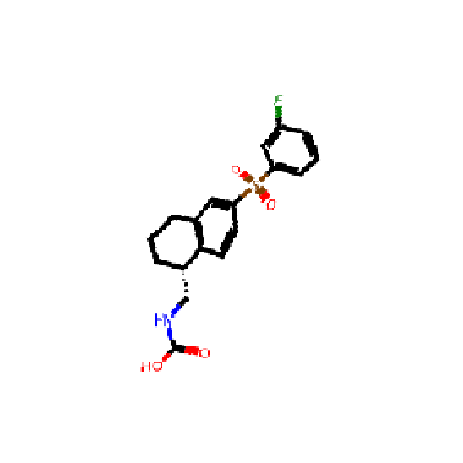 O=C(O)NC[C@@H]1CCCc2cc(S(=O)(=O)c3cccc(F)c3)ccc21